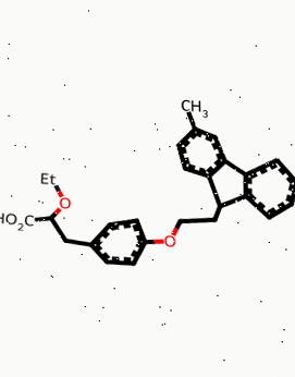 CCOC(Cc1ccc(OCCC2c3ccccc3-c3cc(C)ccc32)cc1)C(=O)O